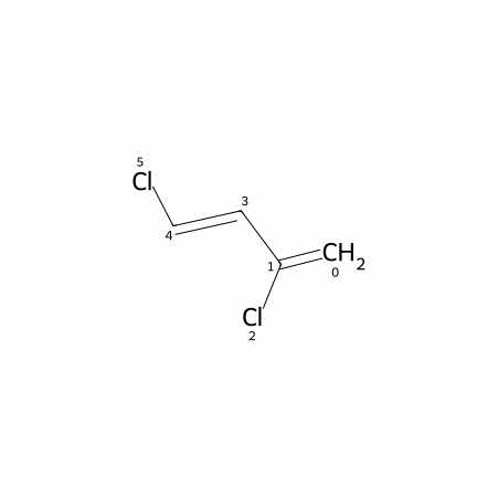 C=C(Cl)C=CCl